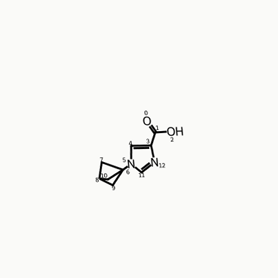 O=C(O)c1cn(C23CC(C2)C3)cn1